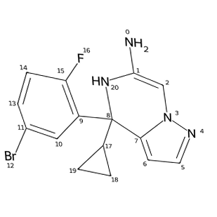 NC1=Cn2nccc2C(c2cc(Br)ccc2F)(C2CC2)N1